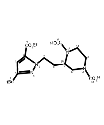 CCOC(=O)c1cc(C(C)(C)C)nn1CC[C@@H]1CN(C(=O)O)CCN1C(=O)O